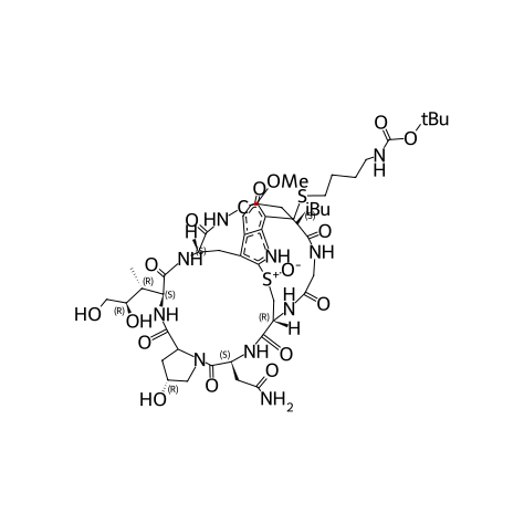 CC[C@H](C)C1CC(=O)CNC(=O)[C@@H]2Cc3c([nH]c4c(CSCCCCNC(=O)OC(C)(C)C)c(OC)ccc34)[S+]([O-])C[C@H](NC(=O)CNC1=O)C(=O)N[C@@H](CC(N)=O)C(=O)N1C[C@H](O)CC1C(=O)N[C@@H]([C@@H](C)[C@@H](O)CO)C(=O)N2